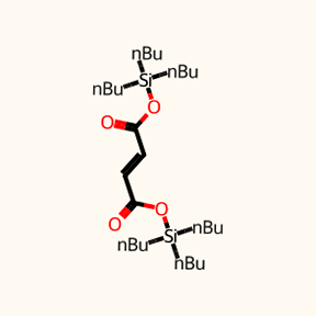 CCCC[Si](CCCC)(CCCC)OC(=O)C=CC(=O)O[Si](CCCC)(CCCC)CCCC